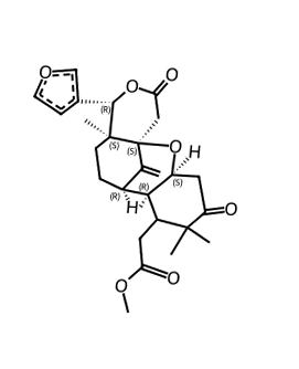 C=C1[C@@H]2CC[C@@]3(C)[C@H](c4ccoc4)OC(=O)C[C@]13O[C@H]1CC(=O)C(C)(C)C(CC(=O)OC)[C@]12C